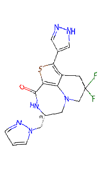 O=C1N[C@@H](Cn2cccn2)CN2CC(F)(F)Cc3c(-c4cn[nH]c4)sc1c32